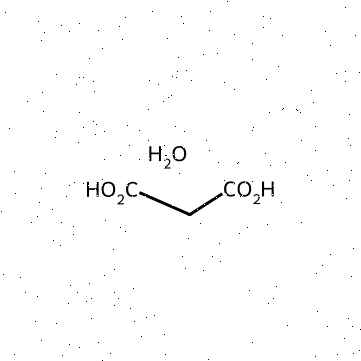 O.O=C(O)CC(=O)O